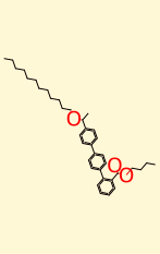 CCCCCCCCCCCCOC(C)c1ccc(-c2ccc(-c3ccccc3C(=O)OCCCC)cc2)cc1